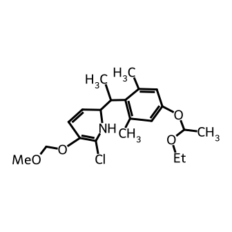 CCOC(C)Oc1cc(C)c(C(C)C2C=CC(OCOC)=C(Cl)N2)c(C)c1